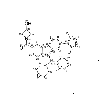 Cc1nnn(C)c1-c1cnc2c3cc(C(=O)N4CC(O)C4)ccc3n([C@H](c3ccccc3)C3CCOCC3)c2c1